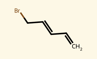 C=C/C=C/CBr